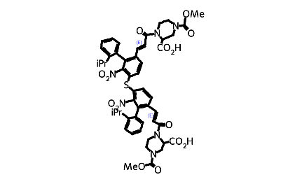 COC(=O)N1CCN(C(=O)/C=C/c2ccc(Sc3ccc(/C=C/C(=O)N4CCN(C(=O)OC)CC4C(=O)O)c(-c4ccccc4C(C)C)c3[N+](=O)[O-])c([N+](=O)[O-])c2-c2ccccc2C(C)C)C(C(=O)O)C1